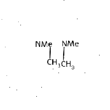 CNC.CNC